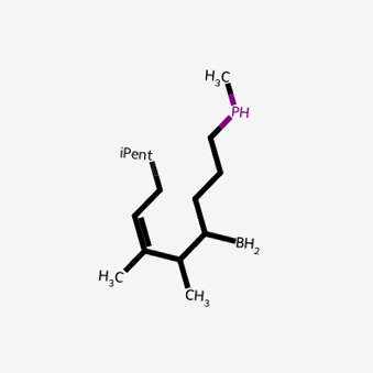 BC(CCCPC)C(C)/C(C)=C\CC(C)CCC